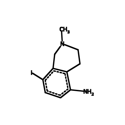 CN1CCc2c(N)ccc(I)c2C1